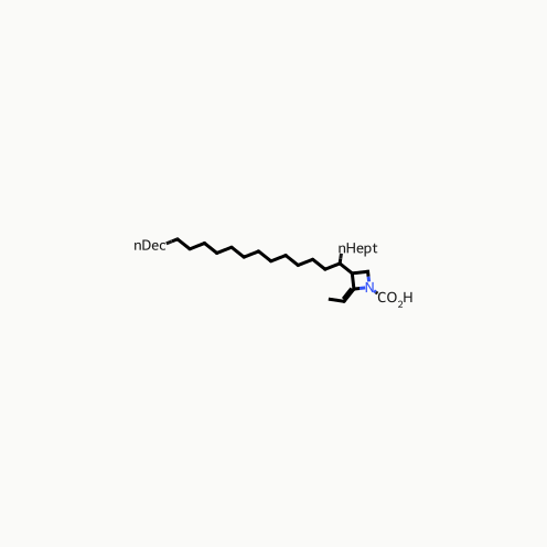 CC=C1C(C(CCCCCCC)CCCCCCCCCCCCCCCCCCCCCC)CN1C(=O)O